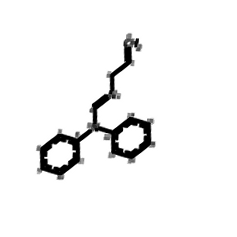 C=CCN=CN(c1ccccc1)c1ccccc1